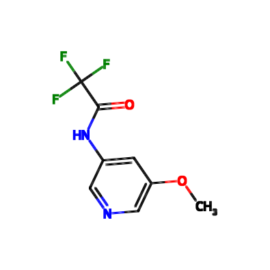 COc1cncc(NC(=O)C(F)(F)F)c1